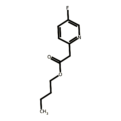 CCCCOC(=O)Cc1ccc(F)cn1